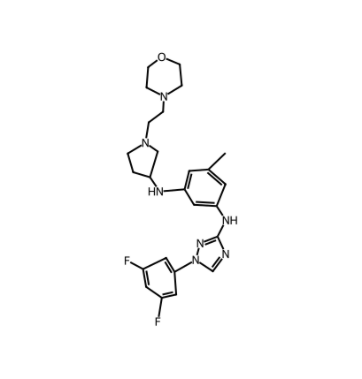 Cc1cc(Nc2ncn(-c3cc(F)cc(F)c3)n2)cc(NC2CCN(CCN3CCOCC3)C2)c1